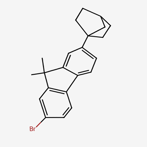 CC1(C)c2cc(Br)ccc2-c2ccc(C34CCC(CC3)C4)cc21